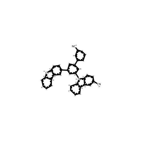 N#Cc1cccc(-c2cc(-c3ccc4oc5ccccc5c4c3)cc(-n3c4ccccc4c4cc(C#N)ccc43)c2)c1